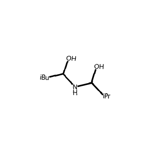 CCC(C)C(O)NC(O)C(C)C